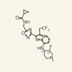 CN1CC[C@@H](Nc2cccn3c(CC(F)(F)F)c(-c4noc(CNC(=O)C5CC5)n4)nc23)[C@@H](F)C1